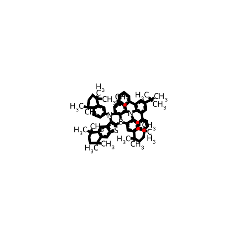 Cc1cc2c3c(c1)N(c1ccc4c(c1)C(C)(C)CCC4(C)C)c1c(sc4cc5c(cc14)C(C)(C)CCC5(C)C)B3c1cc3c(cc1N2c1c(-c2ccccc2)cc(C(C)(C)C)cc1-c1ccccc1)C(C)(C)CCC3(C)C